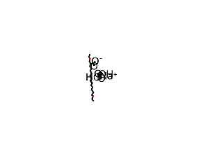 CCCCCCCCC=CCCCCCCC(CCCC)C(=O)[O-].O=S(=O)(O)O.[Na+]